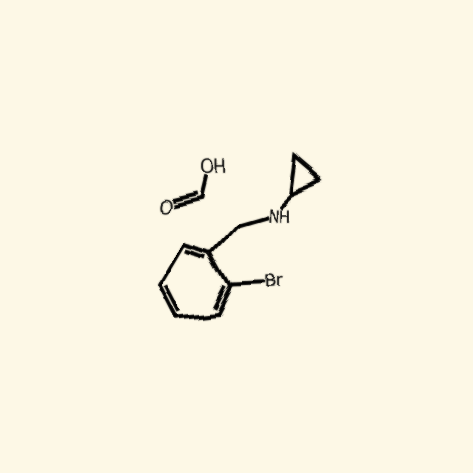 Brc1ccccc1CNC1CC1.O=CO